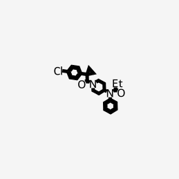 CCC(=O)N(c1ccccc1)C1CCN(C(=O)C2(c3ccc(Cl)cc3)CC2)CC1